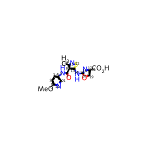 COc1ccc(NC(=O)c2c(C)nsc2Nc2nc(C(=O)O)co2)cn1